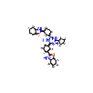 C1CCC(C2NC(C3CCCC(C4NC5CCCCC5O4)C3)NC(C3CCCC(C4NC5CCCCC5O4)C3)N2)C1